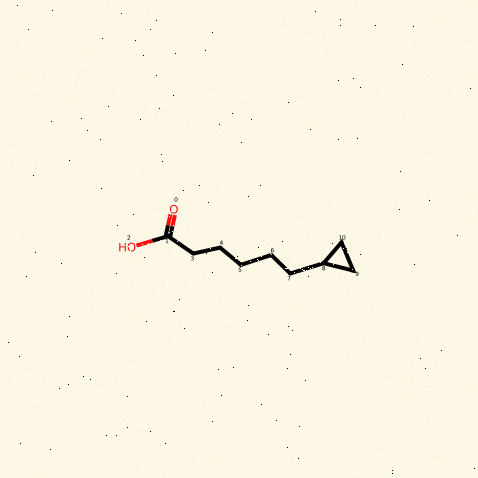 O=C(O)CCCCCC1CC1